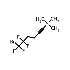 C[Si](C)(C)C#CCCC(F)(F)C(F)(F)Br